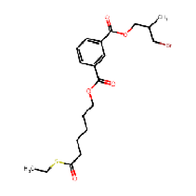 CCSC(=O)CCCCCOC(=O)c1cccc(C(=O)OCC(C)CBr)c1